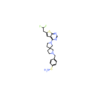 NSc1ccc(CN2CCC3(CCN(c4ncnc5sc(CC(F)F)cc45)C3)C2)cc1